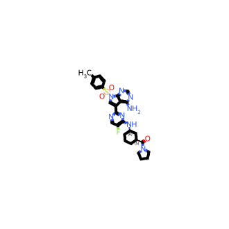 Cc1ccc(S(=O)(=O)n2cc(-c3ncc(F)c(N[C@@H]4CCC[C@H](C(=O)N5CCCC5)C4)n3)c3c(N)ncnc32)cc1